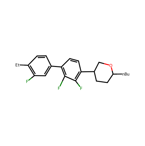 CCCCC1CCC(c2ccc(-c3ccc(CC)c(F)c3)c(F)c2F)CO1